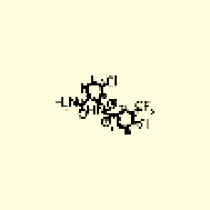 NC(=O)c1ncc(Cl)cc1NS(=O)(=O)c1ccc(Cl)c(C(F)(F)F)c1